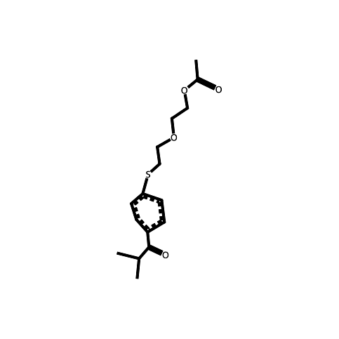 CC(=O)OCCOCCSc1ccc(C(=O)C(C)C)cc1